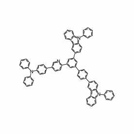 c1ccc(N(c2ccccc2)c2ccc(-c3ccc(-c4cc(-c5ccc(-c6ccc7c(c6)c6ccccc6n7-c6ccccc6)cc5)cc(-c5ccc6c(c5)c5ccccc5n6-c5ccccc5)c4)nc3)cc2)cc1